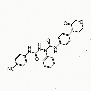 N#Cc1ccc(NC(=O)NN(C(=O)Nc2ccc(N3CCOCC3=O)cc2)c2ccccc2)cc1